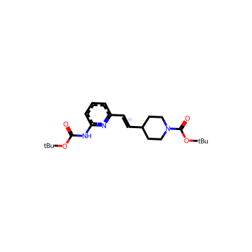 CC(C)(C)OC(=O)Nc1cccc(/C=C/C2CCN(C(=O)OC(C)(C)C)CC2)n1